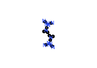 C1=CC(n2c3ccccc3c3cc(-c4ccc5c(c4)c4ccccc4n5-c4ccc(-c5nc(-c6ccncc6)nc(-c6ccncc6)n5)cc4)ccc32)CC=C1c1nc(-c2ccncc2)nc(-c2ccncc2)n1